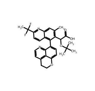 Cc1cc2nc(C(C)(F)F)ccc2c(-c2ccc3c4c(ccnc24)CCO3)c1C(OC(C)(C)C)C(=O)O